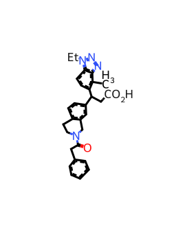 CCn1nnc2c(C)c(C(CC(=O)O)c3ccc4c(c3)CN(C(=O)Cc3ccccc3)CC4)ccc21